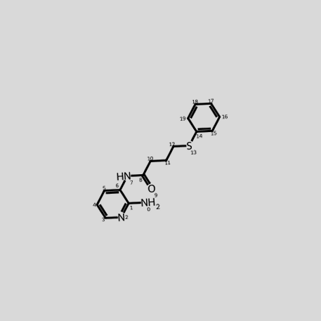 Nc1ncccc1NC(=O)CCCSc1ccccc1